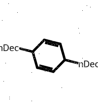 CCCCCCCCCCC1C=CC(CCCCCCCCCC)C=C1